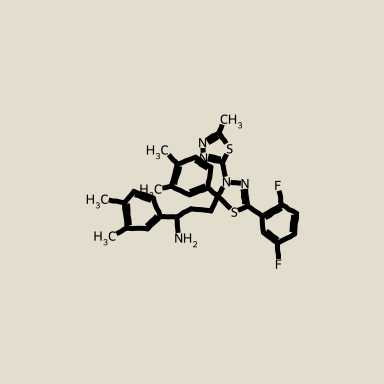 Cc1nnc(N2N=C(c3cc(F)ccc3F)SC2(CCC(N)c2ccc(C)c(C)c2)c2ccc(C)c(C)c2)s1